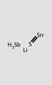 [Li].[S]=[Sn].[SbH3]